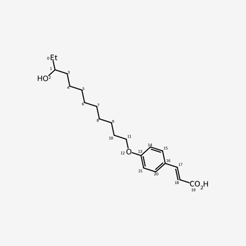 CCC(O)CCCCCCCCCOc1ccc(C=CC(=O)O)cc1